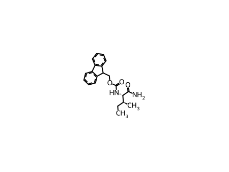 CC[C@H](C)[C@H](NC(=O)OCC1c2ccccc2-c2ccccc21)C(N)=O